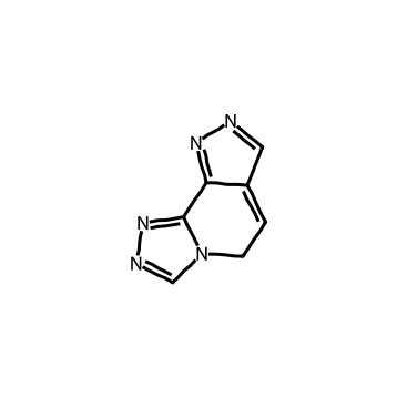 C1=NN=C2C1=CCn1cnnc12